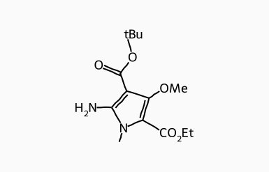 CCOC(=O)c1c(OC)c(C(=O)OC(C)(C)C)c(N)n1C